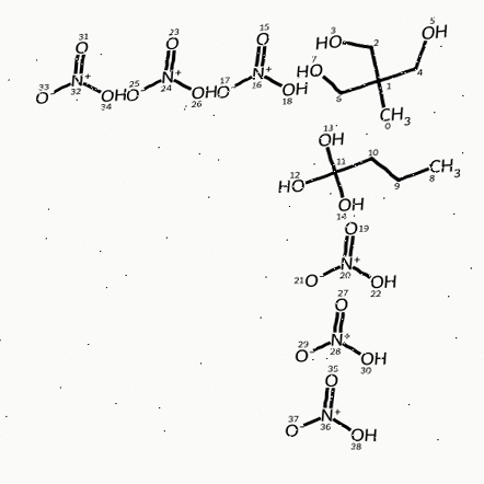 CC(CO)(CO)CO.CCCC(O)(O)O.O=[N+]([O-])O.O=[N+]([O-])O.O=[N+]([O-])O.O=[N+]([O-])O.O=[N+]([O-])O.O=[N+]([O-])O